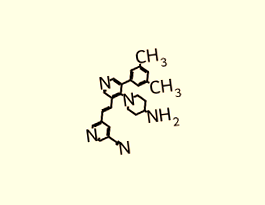 Cc1cc(C)cc(-c2cncc(/C=C/c3cncc(C#N)c3)c2N2CCC(N)CC2)c1